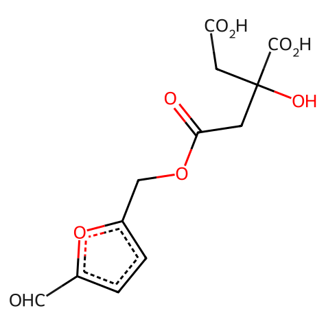 O=Cc1ccc(COC(=O)CC(O)(CC(=O)O)C(=O)O)o1